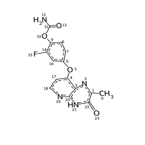 Cc1nc2c(Oc3ccc(OC(N)=O)c(F)c3)ccnc2[nH]c1=O